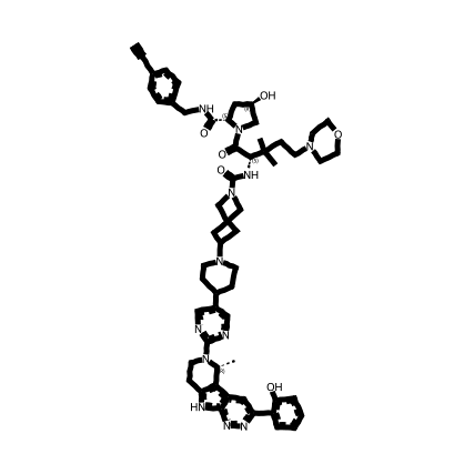 C#Cc1ccc(CNC(=O)[C@@H]2C[C@@H](O)CN2C(=O)[C@@H](NC(=O)N2CC3(CC(N4CCC(c5cnc(N6CCc7[nH]c8nnc(-c9ccccc9O)cc8c7[C@H]6C)nc5)CC4)C3)C2)C(C)(C)CCN2CCOCC2)cc1